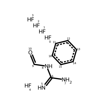 F.F.F.F.F.N=C(N)NC=O.c1ccccc1